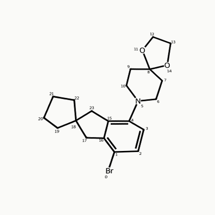 Brc1ccc(N2CCC3(CC2)OCCO3)c2c1CC1(CCCC1)C2